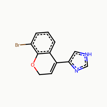 Brc1cccc2c1OCC=C2c1c[nH]cn1